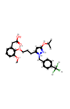 COc1cccc(CC(=O)O)c1OCCCc1cc(OC(C)C)nn1Cc1ccc(C(F)(F)F)cc1